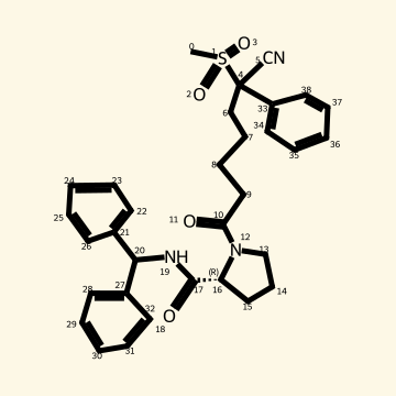 CS(=O)(=O)C(C#N)(CCCCC(=O)N1CCC[C@@H]1C(=O)NC(c1ccccc1)c1ccccc1)c1ccccc1